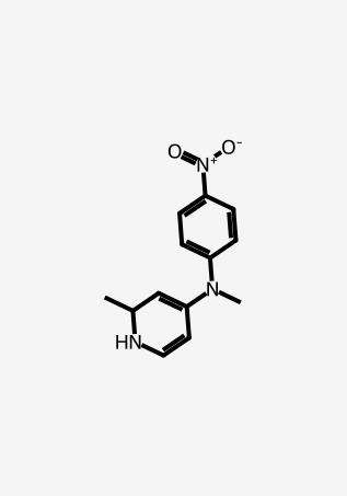 CC1C=C(N(C)c2ccc([N+](=O)[O-])cc2)C=CN1